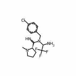 CN1CCC[C@@H]1C(=N)N(Cc1ccc(Cl)cc1)C(N)C(F)(F)F